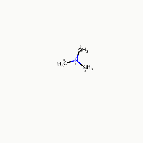 CN([SiH3])[SiH3]